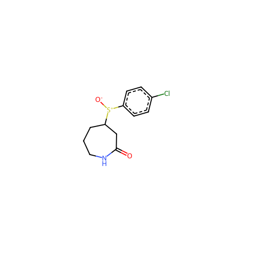 O=C1CC([S+]([O-])c2ccc(Cl)cc2)CCCN1